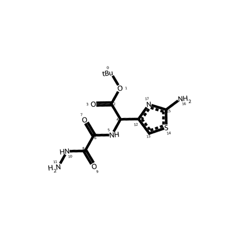 CC(C)(C)OC(=O)C(NC(=O)C(=O)NN)c1csc(N)n1